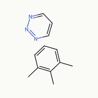 Cc1cccc(C)c1C.c1cnnnc1